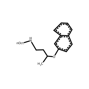 CCCCCCCCNCCC(C)Oc1ccc2ccccc2c1